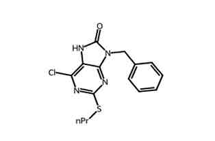 CCCSc1nc(Cl)c2[nH]c(=O)n(Cc3ccccc3)c2n1